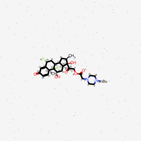 CCCCN1CCN(CC(=O)OCC(=O)[C@@]2(O)[C@H](C)CC3C4C[C@H](F)C5=CC(=O)C=C[C@]5(C)[C@@]4(F)[C@@H](O)C[C@@]32C)CC1